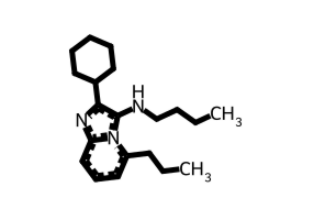 CCCCNc1c(C2CCCCC2)nc2cccc(CCC)n12